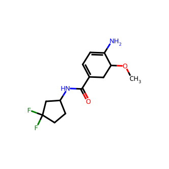 COC1CC(C(=O)NC2CCC(F)(F)C2)=CC=C1N